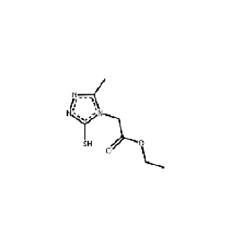 CCOC(=O)Cn1c(C)nnc1S